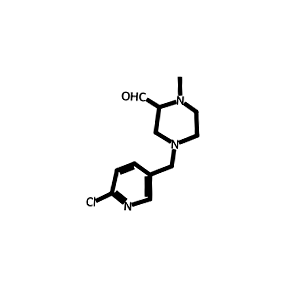 CN1CCN(Cc2ccc(Cl)nc2)CC1C=O